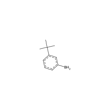 Bc1cccc(C(C)(C)C)c1